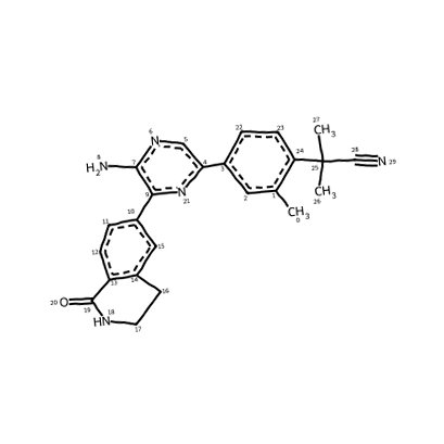 Cc1cc(-c2cnc(N)c(-c3ccc4c(c3)CCNC4=O)n2)ccc1C(C)(C)C#N